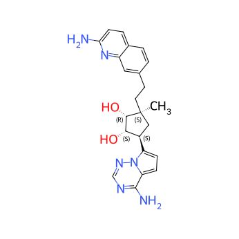 C[C@]1(CCc2ccc3ccc(N)nc3c2)C[C@@H](c2ccc3c(N)ncnn23)[C@H](O)[C@@H]1O